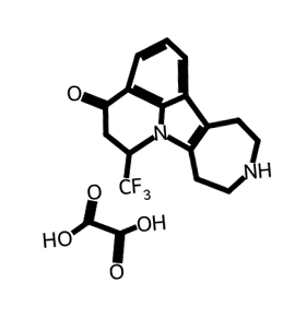 O=C(O)C(=O)O.O=C1CC(C(F)(F)F)n2c3c(c4cccc1c42)CCNCC3